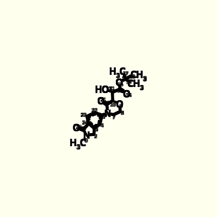 CN1Cc2cc(N3CCO[C@H]([C@@H](O)C(=O)OC(C)(C)C)C3=O)ccc2C1=O